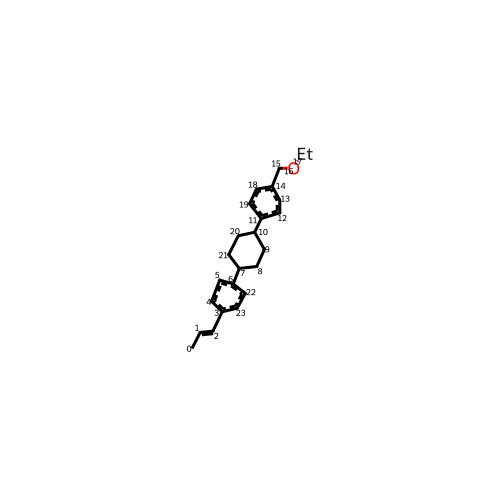 C/C=C/c1ccc(C2CCC(c3ccc(COCC)cc3)CC2)cc1